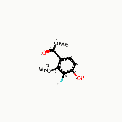 COC(=O)c1ccc(O)c(F)c1OC